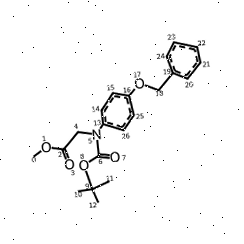 COC(=O)CN(C(=O)OC(C)(C)C)c1ccc(OCc2ccccc2)cc1